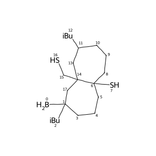 BC1(C(C)CC)CCCC2(S)CCCC(C(C)CC)CC2(CS)C1